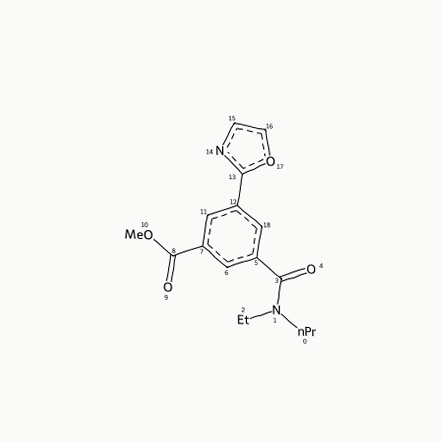 CCCN(CC)C(=O)c1cc(C(=O)OC)cc(-c2ncco2)c1